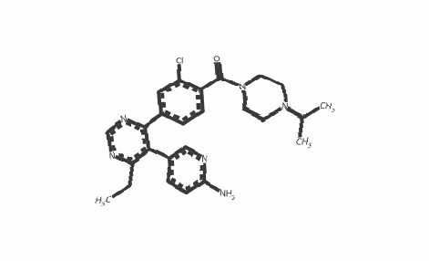 CCc1ncnc(-c2ccc(C(=O)N3CCN(C(C)C)CC3)c(Cl)c2)c1-c1ccc(N)nc1